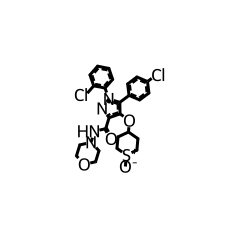 O=C(NN1CCOCC1)c1nn(-c2ccccc2Cl)c(-c2ccc(Cl)cc2)c1OC1CC[S+]([O-])CC1